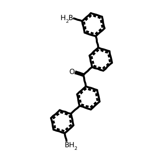 Bc1cccc(-c2cccc(C(=O)c3cccc(-c4cccc(B)c4)c3)c2)c1